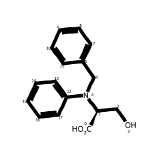 O=C(O)[C@H](CO)N(Cc1ccccc1)c1ccccc1